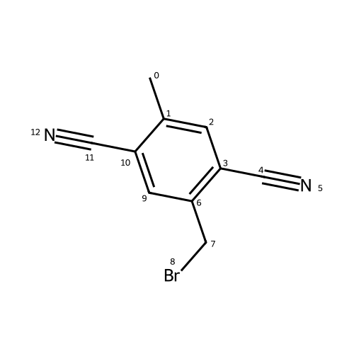 Cc1cc(C#N)c(CBr)cc1C#N